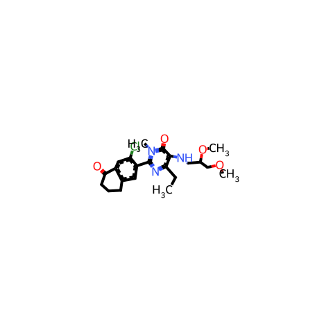 CCc1nc(-c2cc3c(cc2Cl)C(=O)CCC3)n(C)c(=O)c1NCC(COC)OC